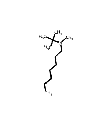 CCCCCCCN(C)C(C)(C)C